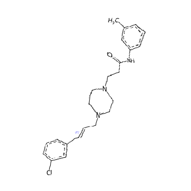 Cc1cccc(NC(=O)CCN2CCN(C/C=C/c3cccc(Cl)c3)CC2)c1